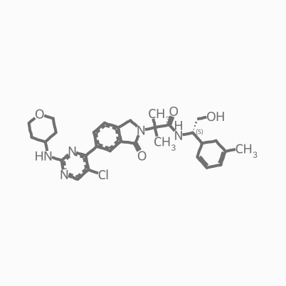 CC1=CC=CC([C@@H](CO)NC(=O)C(C)(C)N2Cc3ccc(-c4nc(NC5CCOCC5)ncc4Cl)cc3C2=O)C1